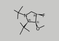 CO[C@@H]1[C@H](F)CN(C(C)(C)C)[C@@H]1C(C)(C)C